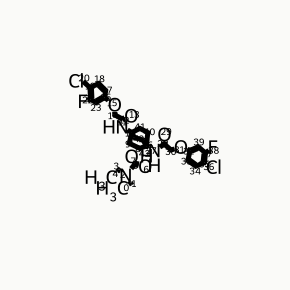 CCN(CC)C(=O)O[C@@H]1CC2(NC(=O)COc3ccc(Cl)c(F)c3)CCC1(NC(=O)COc1ccc(Cl)c(F)c1)CC2